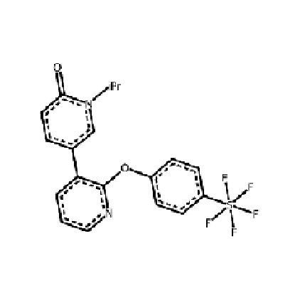 CC(C)n1cc(-c2cccnc2Oc2ccc(S(F)(F)(F)(F)F)cc2)ccc1=O